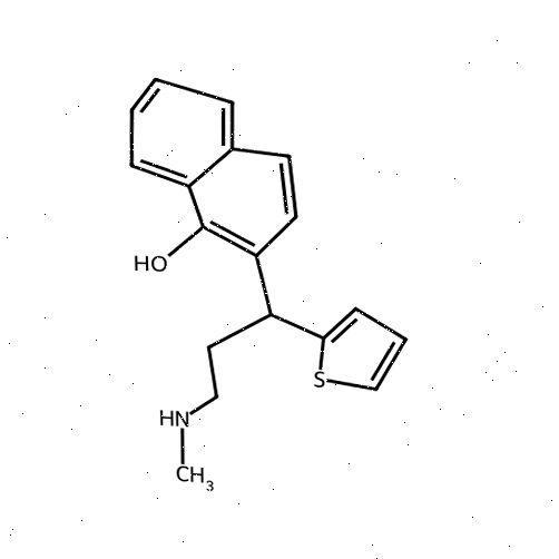 CNCCC(c1cccs1)c1ccc2ccccc2c1O